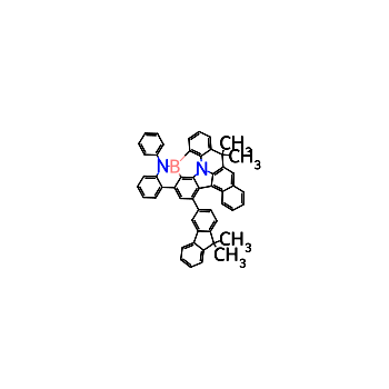 CC1(C)c2ccccc2-c2cc(-c3cc4c5c6c3c3c7ccccc7cc7c3n6-c3c(cccc3C7(C)C)B5N(c3ccccc3)c3ccccc3-4)ccc21